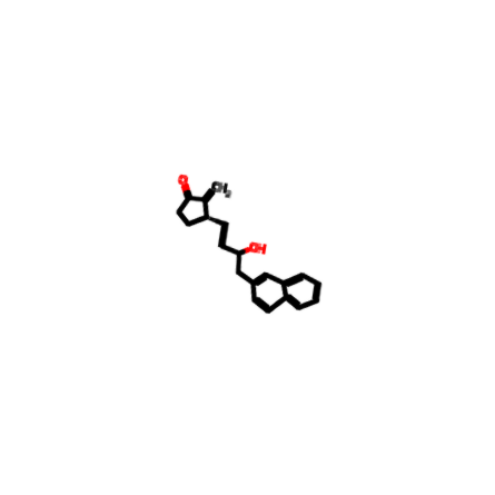 C=C1C(=O)CC[C@@H]1/C=C/C(O)Cc1ccc2ccccc2c1